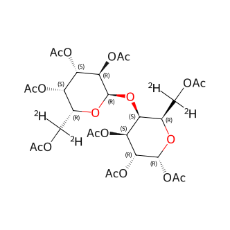 [2H]C([2H])(OC(C)=O)[C@H]1O[C@H](O[C@@H]2[C@H](OC(C)=O)[C@@H](OC(C)=O)[C@@H](OC(C)=O)O[C@@H]2C([2H])([2H])OC(C)=O)[C@H](OC(C)=O)[C@@H](OC(C)=O)[C@H]1OC(C)=O